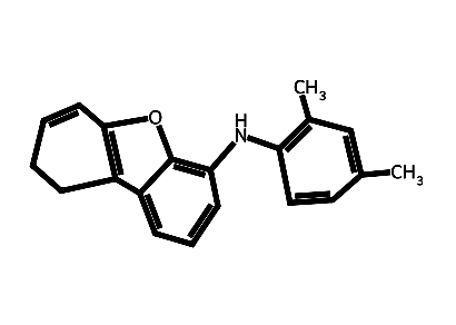 Cc1ccc(Nc2cccc3c4c(oc23)C=CCC4)c(C)c1